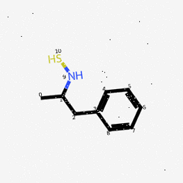 CC(Cc1ccccc1)NS